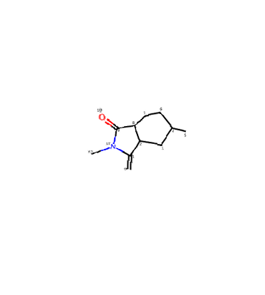 C=C1C2CC(C)CCC2C(=O)N1C